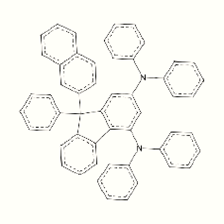 c1ccc(N(c2ccccc2)c2cc(N(c3ccccc3)c3ccccc3)c3c(c2)C(c2ccccc2)(c2ccc4ccccc4c2)c2ccccc2-3)cc1